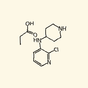 CCC(=O)O.Clc1ncccc1NC1CCNCC1